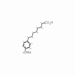 COc1ccc(CCCCCCCC(=O)O)cc1